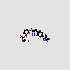 CCCCC(=O)Oc1cccc(CNCc2ccc(-n3cccn3)cc2)c1